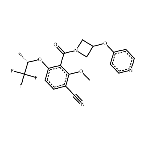 COc1c(C#N)ccc(O[C@@H](C)C(F)(F)F)c1C(=O)N1CC(Oc2ccncc2)C1